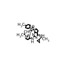 Cc1ccc(S(=O)(=O)n2ccc3c(N[C@@H](C)C4CC4)nc(Nc4ccn(C(C)C)n4)nc32)cc1